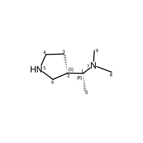 C[C@H]([C@H]1CCNC1)N(C)C